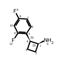 N[C@H]1CC[C@H]1c1ccc(F)cc1F